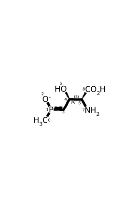 C[P+]([O-])=C[C@@H](O)[C@H](N)C(=O)O